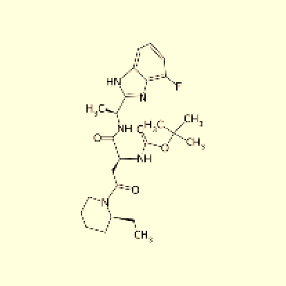 CC[C@H]1CCCCN1C(=O)C[C@H](NC(=O)OC(C)(C)C)C(=O)N[C@@H](C)c1nc2c(F)cccc2[nH]1